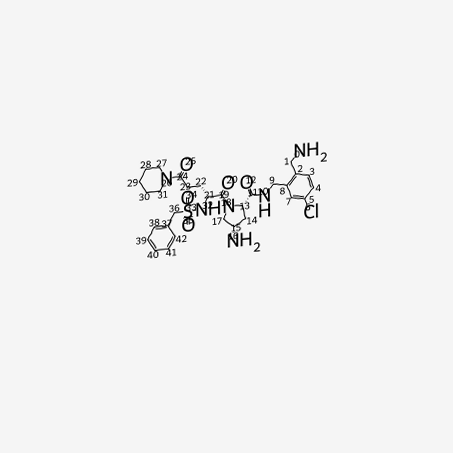 NCc1ccc(Cl)cc1CNC(=O)[C@@H]1C[C@H](N)CN1C(=O)[C@@H](CCC(=O)N1CCCCC1)NS(=O)(=O)Cc1ccccc1